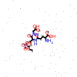 CC[C@H](SCC(NC(=O)CCC(N)C(=O)O)C(=O)NCC(=O)O)P(=O)(O)O